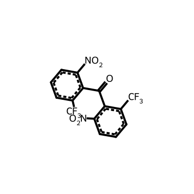 O=C(c1c([N+](=O)[O-])cccc1C(F)(F)F)c1c([N+](=O)[O-])cccc1C(F)(F)F